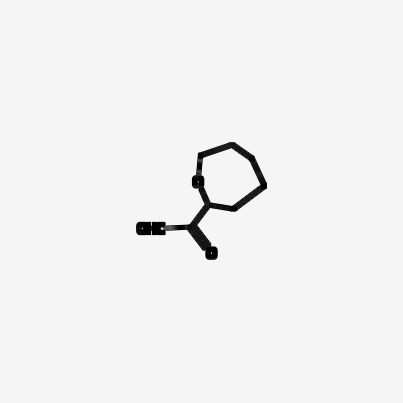 O=CC(=O)C1CCCCCO1